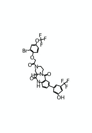 O=C1Nc2ccc(-c3cc(O)cc(C(F)(F)F)c3)cc2C(=O)N2CCN(C(=O)COc3ccc(OC(F)(F)F)cc3Br)C[C@@H]12